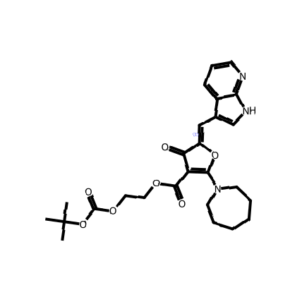 CC(C)(C)OC(=O)OCCOC(=O)C1=C(N2CCCCCC2)O/C(=C\c2c[nH]c3ncccc23)C1=O